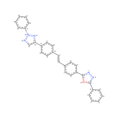 C(=C\c1ccc(-c2nnc(-c3ccccc3)o2)cc1)/c1ccc(-c2cnn(-c3ccccc3)n2)cc1